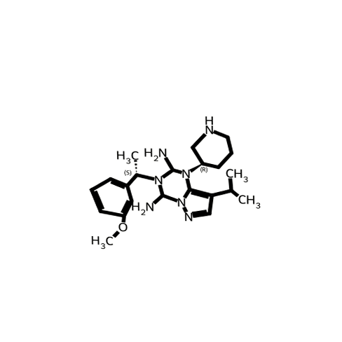 COc1cccc([C@H](C)N2C(N)N([C@@H]3CCCNC3)c3c(C(C)C)cnn3C2N)c1